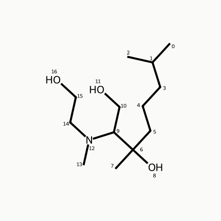 CC(C)CCCC(C)(O)C(CO)N(C)CCO